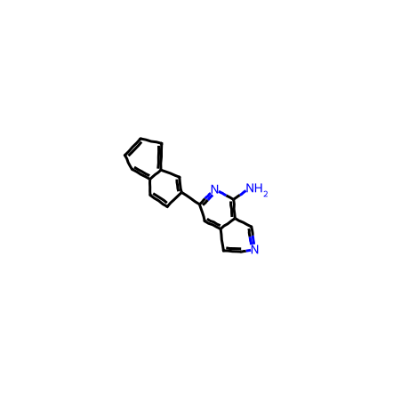 Nc1nc(-c2ccc3ccccc3c2)cc2ccncc12